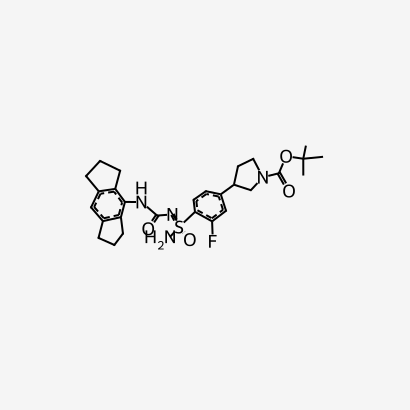 CC(C)(C)OC(=O)N1CCC(c2ccc(S(N)(=O)=NC(=O)Nc3c4c(cc5c3CCC5)CCC4)c(F)c2)C1